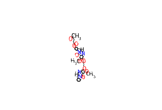 COc1cc2c(cc1OCCCOc1cc3c(cc1OC)C(=O)N1c4ccc(OC(=O)CCC(C)=O)cc4C[C@H]1C=N3)N=C[C@@H]1Cc3ccccc3N1C2=O